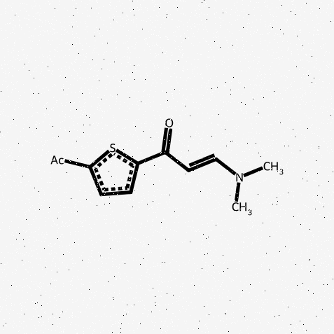 CC(=O)c1ccc(C(=O)C=CN(C)C)s1